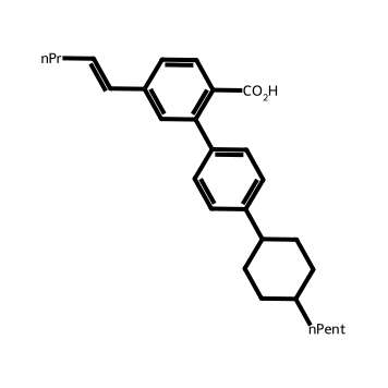 CCCC=Cc1ccc(C(=O)O)c(-c2ccc(C3CCC(CCCCC)CC3)cc2)c1